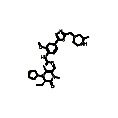 CC[C@@H]1C(=O)N(C)c2cnc(Nc3ccc(-c4nnc(CN5CCNC(C)C5)s4)cc3OC)nc2N1C1CCCC1